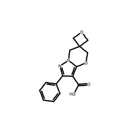 O=C(O)c1c(-c2ccccc2)nn2c1OCC1(COC1)C2